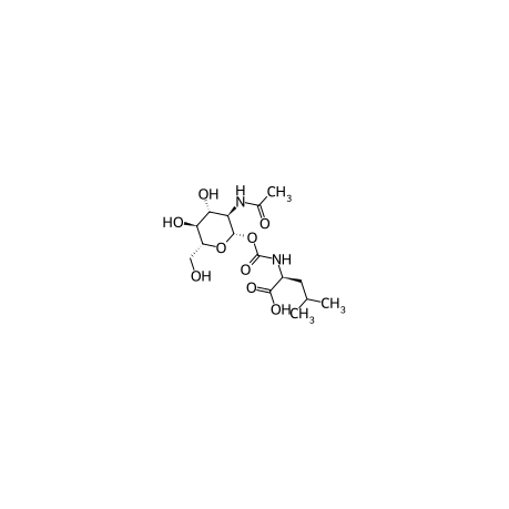 CC(=O)N[C@H]1[C@H](OC(=O)N[C@@H](CC(C)C)C(=O)O)O[C@H](CO)[C@@H](O)[C@@H]1O